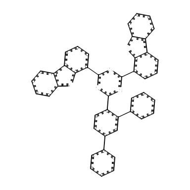 c1ccc(-c2ccc(-c3nc(-c4cccc5c4oc4ccccc45)nc(-c4cccc5c4oc4ccccc45)n3)c(-c3ccccc3)c2)cc1